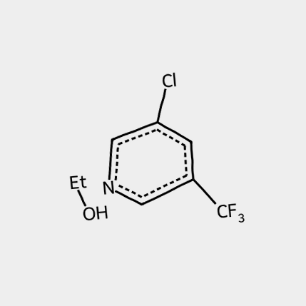 CCO.FC(F)(F)c1cncc(Cl)c1